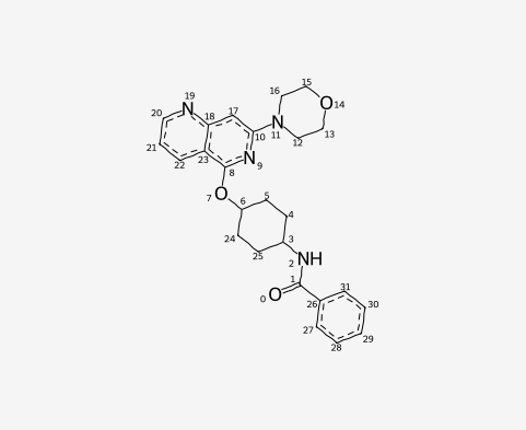 O=C(NC1CCC(Oc2nc(N3CCOCC3)cc3ncccc23)CC1)c1ccccc1